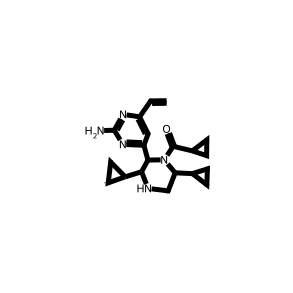 C=Cc1cc(C2C(C3[CH]C3)NCC(C3CC3)N2C(=O)C2CC2)nc(N)n1